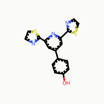 Oc1ccc(-c2cc(-c3nccs3)nc(-c3nccs3)c2)cc1